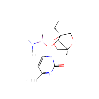 [2H]C[C@@]12CO[C@@H](C1OP(C)N(C(C)C)C(C)C)[C@H](n1ccc(NC(C)=O)nc1=O)O2